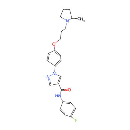 CC1CCCN1CCCOc1ccc(-n2cc(C(=O)Nc3ccc(F)cc3)cn2)cc1